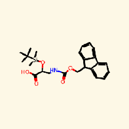 CC(C)(C)[Si](C)(C)OC(CNC(=O)OCC1c2ccccc2-c2ccccc21)C(=O)O